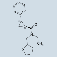 CCN(CC1CCCS1)C(=O)[C@H]1C[C@@H]1c1ccccc1